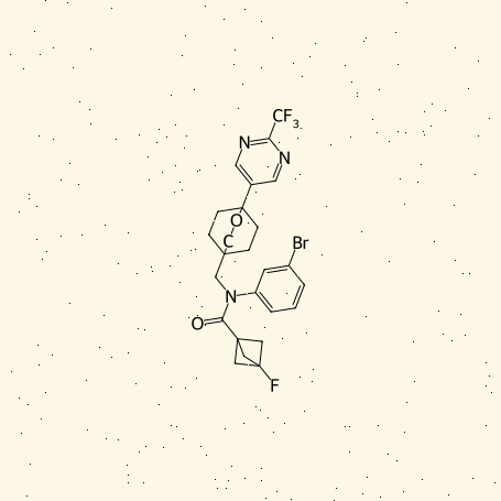 O=C(N(CC12CCC(c3cnc(C(F)(F)F)nc3)(CC1)OC2)c1cccc(Br)c1)C12CC(F)(C1)C2